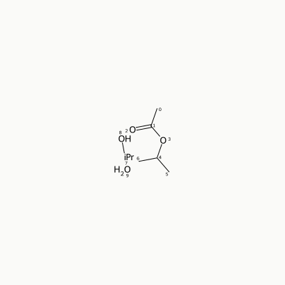 CC(=O)OC(C)C.CC(C)O.O